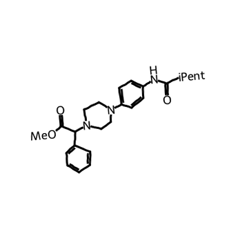 CCCC(C)C(=O)Nc1ccc(N2CCN(C(C(=O)OC)c3ccccc3)CC2)cc1